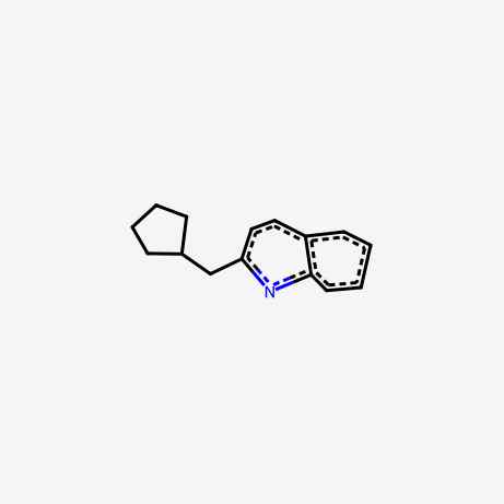 c1ccc2nc(CC3CCCC3)ccc2c1